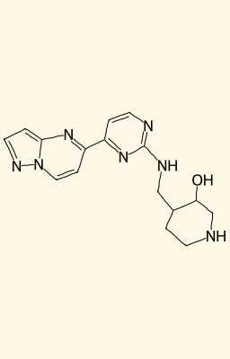 OC1CNCCC1CNc1nccc(-c2ccn3nccc3n2)n1